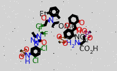 CCc1cccc(C)c1N(C(=O)CCl)C(C)COC.CP(=O)(O)CCC(N)C(=O)O.CS(=O)(=O)c1ccc(C(=O)C2C(=O)CCCC2=O)c([N+](=O)[O-])c1.Cc1nn(-c2cc(NS(C)(=O)=O)c(Cl)cc2Cl)c(=O)n1C(F)F